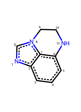 [c]1nc2cccc3c2n1CCN3